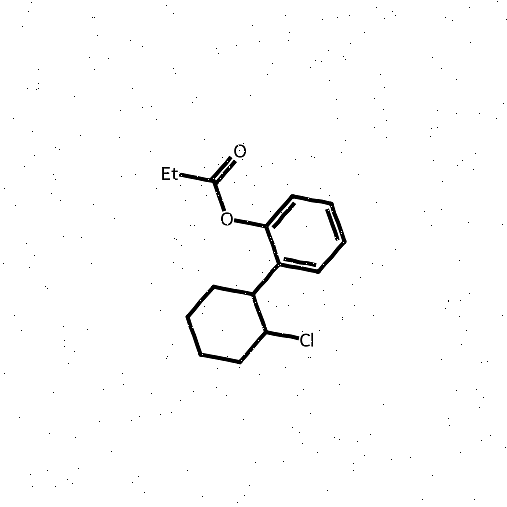 CCC(=O)Oc1ccccc1C1CCCCC1Cl